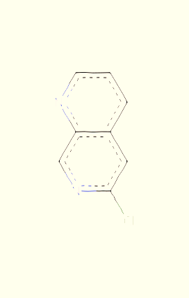 Clc1cc2cc[c]nc2cn1